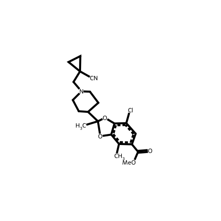 COC(=O)c1cc(Cl)c2c(c1C)OC(C)(C1CCN(CC3(C#N)CC3)CC1)O2